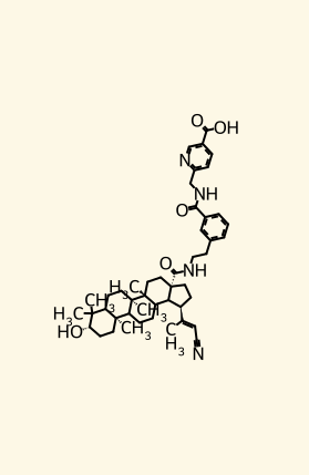 C/C(=C\C#N)[C@@H]1CC[C@]2(C(=O)NCCc3cccc(C(=O)NCc4ccc(C(=O)O)cn4)c3)CC[C@]3(C)C(CCC4[C@@]5(C)CC[C@H](O)C(C)(C)C5CC[C@]43C)C12